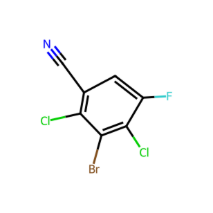 N#Cc1cc(F)c(Cl)c(Br)c1Cl